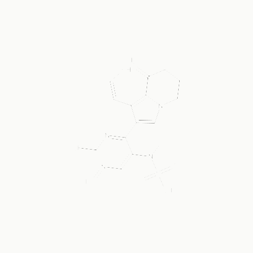 C=N/C=C(\C(=N/CCl)c1cn2c(c1/C=C\C)C(=C)CCC2)N(C)S(C)(=O)=O